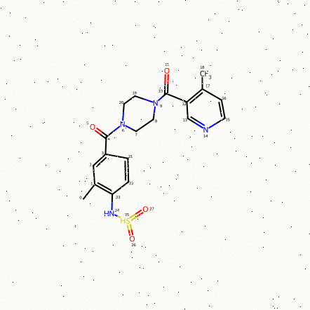 Cc1cc(C(=O)N2CCN(C(=O)c3cnccc3C(F)(F)F)CC2)ccc1N[SH](=O)=O